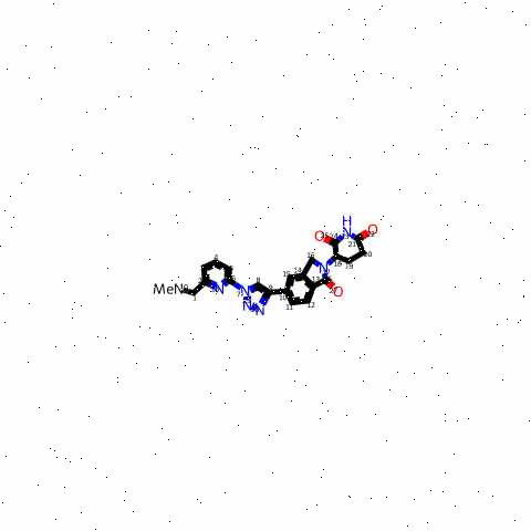 CNCc1cccc(-n2cc(-c3ccc4c(c3)CN(C3CCC(=O)NC3=O)C4=O)nn2)n1